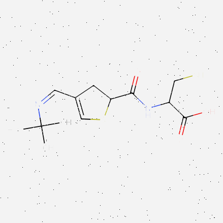 CC(C)(C)/N=C\C1=CSC(C(=O)NC(CS)C(=O)O)C1